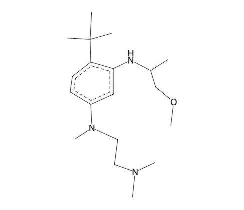 COCC(C)Nc1cc(N(C)CCN(C)C)ccc1C(C)(C)C